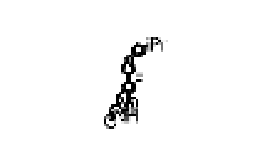 CC(C)c1ccc(CN2CCC(c3cc4c(cc3F)C(=O)N(C3CCC(=O)NC3=O)C4)CC2)cc1